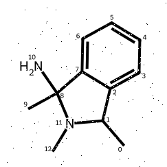 CC1c2ccccc2C(C)(N)N1C